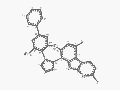 Cc1ccc2c(n1)oc1c(-c3nccn3-c3c(C(C)C)cc(-c4ccccc4)cc3C(C)C)c(C)cc(C)c12